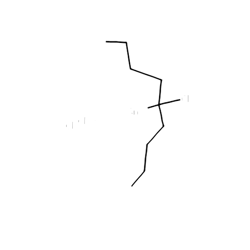 CCCC[C](Cl)([Sn+3])CCCC.[Cl-].[Cl-].[Cl-]